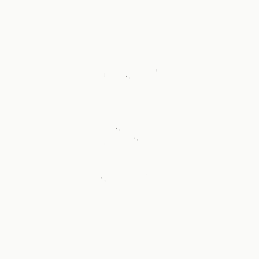 CN(C)CCn1cc([N+](=O)[O-])c(C(=O)Cl)n1